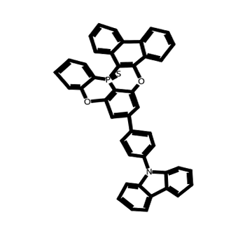 S=P12c3ccccc3Oc3cc(-c4ccc(-n5c6ccccc6c6ccccc65)cc4)cc(c31)Oc1c2c2ccccc2c2ccccc12